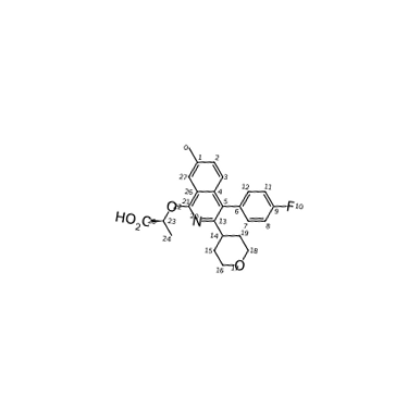 Cc1ccc2c(-c3ccc(F)cc3)c(C3CCOCC3)nc(O[C@@H](C)C(=O)O)c2c1